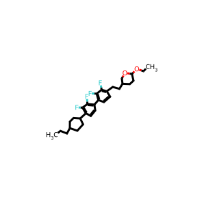 CCCC1CCC(c2ccc(-c3ccc(CCC4CCC(OCC)OC4)c(F)c3F)c(F)c2F)CC1